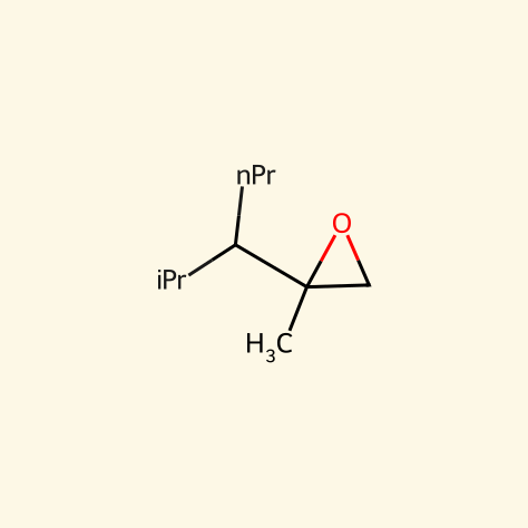 CCCC(C(C)C)C1(C)CO1